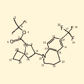 CC(C)(C)OC(=O)N1CC(N2CCCc3cc(C(F)(F)F)ccc32)CC12CCC2